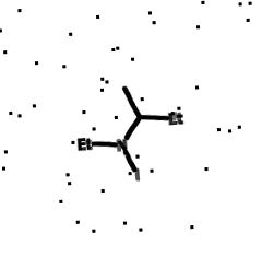 CCC(C)N(I)CC